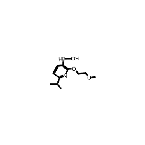 COCCOc1nc(C(C)C)ccc1BO